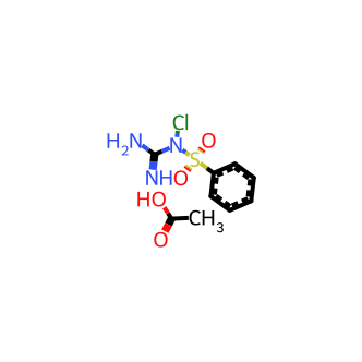 CC(=O)O.N=C(N)N(Cl)S(=O)(=O)c1ccccc1